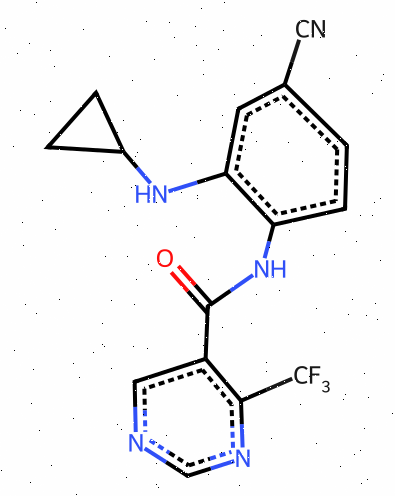 N#Cc1ccc(NC(=O)c2cncnc2C(F)(F)F)c(NC2CC2)c1